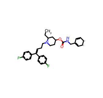 CCC1CC(OC(=O)NCC2=C[C][C]C=C2)CCN1CCC=C(c1ccc(F)cc1)c1ccc(F)cc1